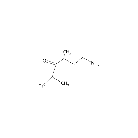 CC(C)C(=O)C(C)CCN